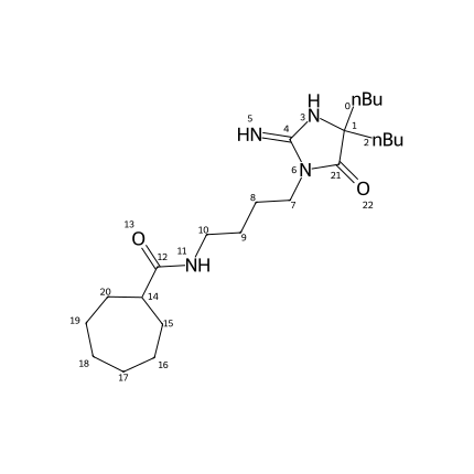 CCCCC1(CCCC)NC(=N)N(CCCCNC(=O)C2CCCCCC2)C1=O